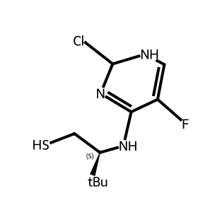 CC(C)(C)[C@@H](CS)NC1=NC(Cl)NC=C1F